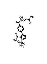 CN(CCC(=O)O)C(=O)c1ccc(-c2ccn(S(N)(=O)=O)c2C(=O)O)cc1